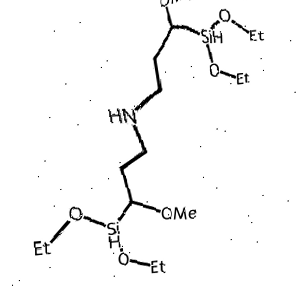 CCO[SiH](OCC)C(CCNCCC(OC)[SiH](OCC)OCC)OC